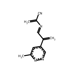 C=C(C#N)/N=C/C(=C)c1cnnc(C)c1